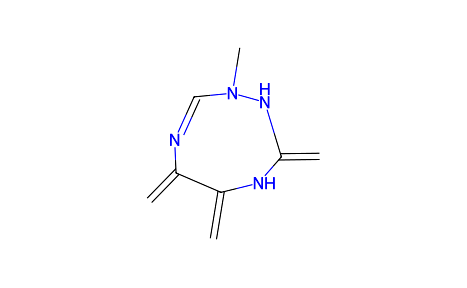 C=C1NC(=C)C(=C)/N=C\N(C)N1